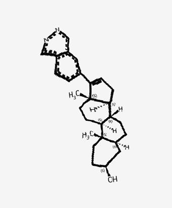 C[C@]12CC[C@H](O)C[C@@H]1CC[C@@H]1[C@@H]2CC[C@]2(C)C(c3ccc4cnncc4c3)=CC[C@@H]12